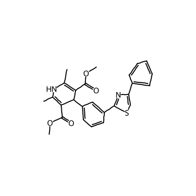 COC(=O)C1=C(C)NC(C)=C(C(=O)OC)C1c1cccc(-c2nc(-c3ccccc3)cs2)c1